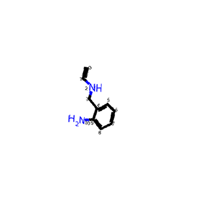 C=CNCc1ccccc1N